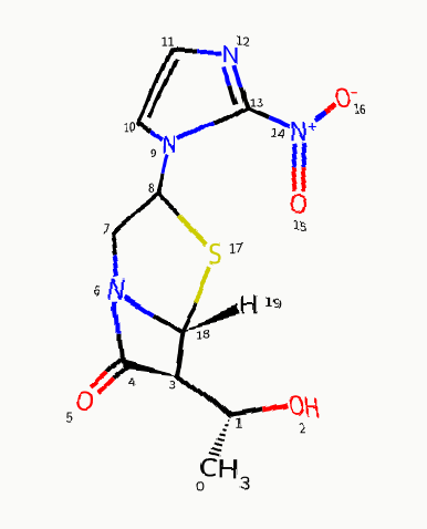 C[C@@H](O)[C@H]1C(=O)N2CC(n3ccnc3[N+](=O)[O-])S[C@H]12